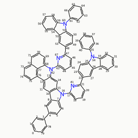 c1ccc(-c2ccc3c(c2)c2cc4c(cc2n3-c2cccc(-c3ccc5c(c3)c3ccccc3n5-c3ccccc3)n2)N(c2cccc(-c3ccc5c(c3)c3ccccc3n5-c3ccccc3)n2)c2cccc3cccc-4c23)cc1